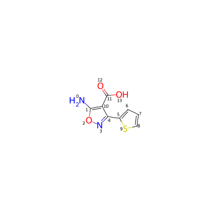 Nc1onc(-c2cccs2)c1C(=O)O